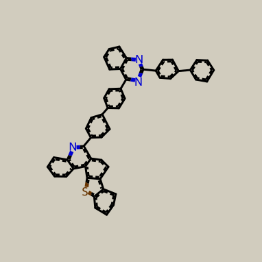 c1ccc(-c2ccc(-c3nc(-c4ccc(-c5ccc(-c6nc7ccccc7c7c6ccc6c8ccccc8sc67)cc5)cc4)c4ccccc4n3)cc2)cc1